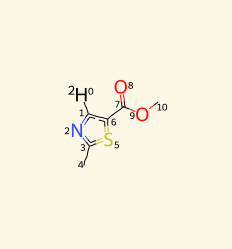 [2H]c1nc(C)sc1C(=O)OC